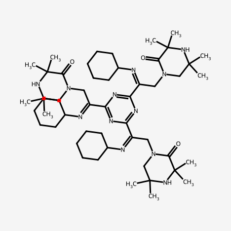 CC1(C)CN(CC(=NC2CCCCC2)c2nc(C(CN3CC(C)(C)NC(C)(C)C3=O)=NC3CCCCC3)nc(C(CN3CC(C)(C)NC(C)(C)C3=O)=NC3CCCCC3)n2)C(=O)C(C)(C)N1